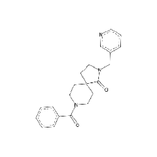 O=C(c1ccccc1)N1CCC2(CC1)CCN(Cc1cccnc1)C2=O